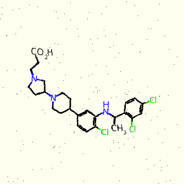 CC(Nc1cc(C2CCN(C3CCN(CCC(=O)O)C3)CC2)ccc1Cl)c1ccc(Cl)cc1Cl